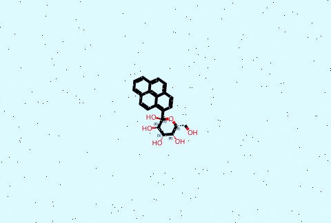 OC[C@H]1O[C@@](O)(c2ccc3ccc4cccc5ccc2c3c45)[C@H](O)[C@@H](O)[C@H]1O